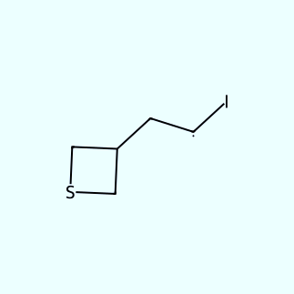 I[CH]CC1CSC1